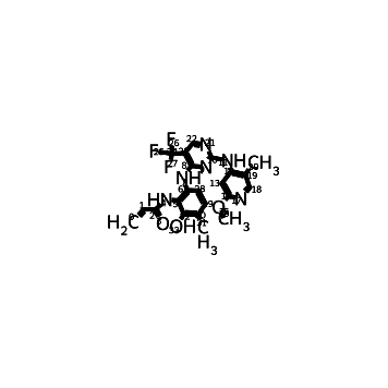 C=CC(=O)Nc1c(Nc2nc(Nc3cc(OC)ncc3C)ncc2C(F)(F)F)ccc(C)c1O